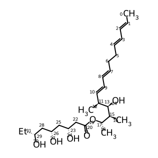 C/C=C/C=C/CC/C=C/C=C/[C@H](C)[C@@H](O)[C@@H](C)[C@H](C)OC(=O)C[C@H](O)C[C@H](O)C[C@H](O)CC